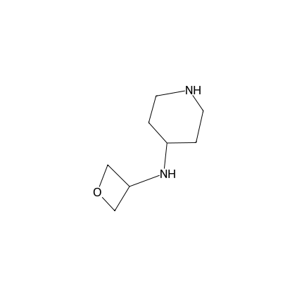 C1CC(NC2COC2)CCN1